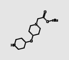 CCCCOC(=O)CN1CCC(OC2CCNCC2)CC1